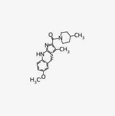 COc1ccc(Nc2nc(C(=O)N3CCC(C)CC3)c(C)s2)c(F)c1